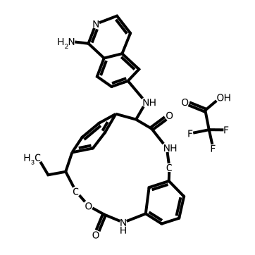 CCC1COC(=O)Nc2cccc(c2)CNC(=O)C(Nc2ccc3c(N)nccc3c2)c2ccc1cc2.O=C(O)C(F)(F)F